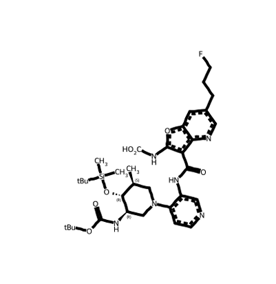 C[C@H]1CN(c2ccncc2NC(=O)c2c(NC(=O)O)oc3cc(CCCF)cnc23)C[C@@H](NC(=O)OC(C)(C)C)[C@@H]1O[Si](C)(C)C(C)(C)C